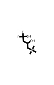 C[N+](C)(C)CC(O)CC(F)(F)S